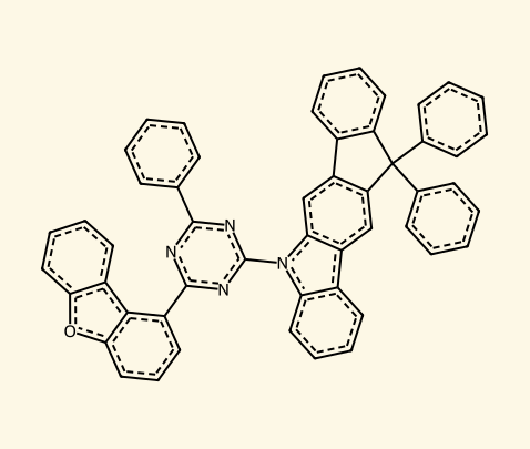 c1ccc(-c2nc(-c3cccc4oc5ccccc5c34)nc(-n3c4ccccc4c4cc5c(cc43)-c3ccccc3C5(c3ccccc3)c3ccccc3)n2)cc1